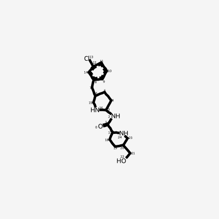 O=C(NC1CCC(Cc2cccc(Cl)c2)CN1)C1CCC(CO)CN1